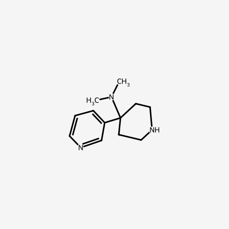 CN(C)C1(c2cccnc2)CCNCC1